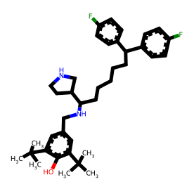 CC(C)(C)c1cc(CNC(CCCCCC(c2ccc(F)cc2)c2ccc(F)cc2)C2CCNC2)cc(C(C)(C)C)c1O